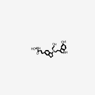 O=C(C=Cc1ccc2c(c1)CCC2N(CCO)CCc1c[nH]c2ccc(O)cc12)NO